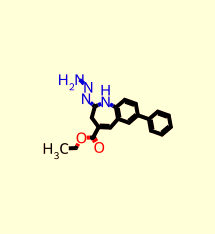 CCOC(=O)C1=Cc2cc(-c3ccccc3)ccc2NC(N=NN)C1